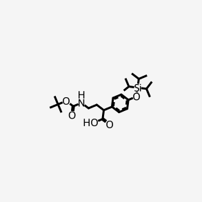 CC(C)[Si](Oc1ccc(C(CCNC(=O)OC(C)(C)C)C(=O)O)cc1)(C(C)C)C(C)C